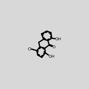 O=C1c2c(O)cccc2Cc2c(Cl)ccc(O)c21